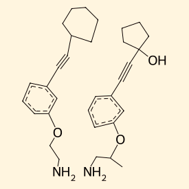 CC(CN)Oc1cccc(C#CC2(O)CCCC2)c1.NCCOc1cccc(C#CC2CCCCC2)c1